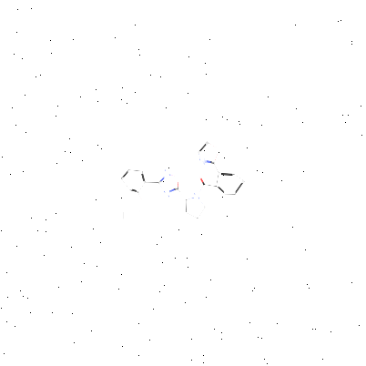 O=C(c1ccccc1-c1ncco1)N1CCC[C@H]1c1nc(-c2ccccc2OC(F)(F)F)no1